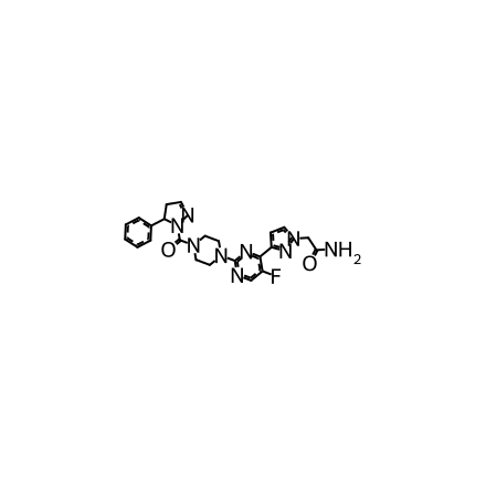 NC(=O)Cn1ccc(-c2nc(N3CCN(C(=O)N4N=CCC4c4ccccc4)CC3)ncc2F)n1